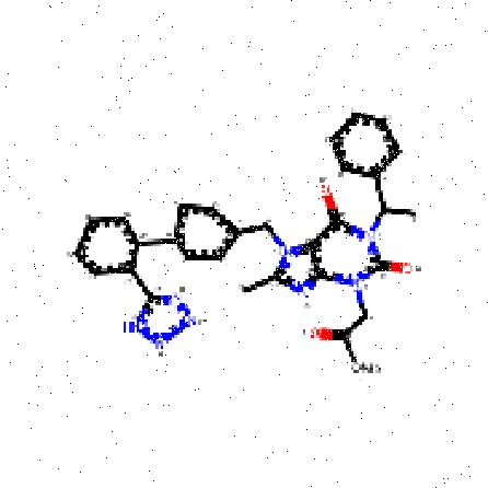 COC(=O)Cn1c(=O)n(C(C)c2ccccc2)c(=O)c2c1nc(C)n2Cc1ccc(-c2ccccc2-c2nnn[nH]2)cc1